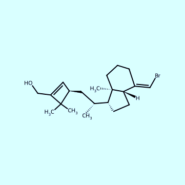 C[C@H](C[C@@H]1C=C(CO)C1(C)C)[C@H]1CC[C@H]2/C(=C/Br)CCC[C@]12C